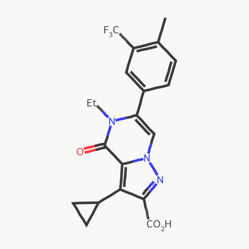 CCn1c(-c2ccc(C)c(C(F)(F)F)c2)cn2nc(C(=O)O)c(C3CC3)c2c1=O